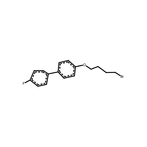 Fc1ccc(-c2ccc(OCCCCBr)cc2)cc1